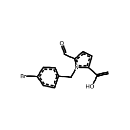 C=C(O)c1ccc(C=O)n1Cc1ccc(Br)cc1